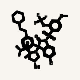 COc1ccc(S(=O)(=O)N2C(=O)C(c3cc(CCN4CCCCC4)ccc3OC)(N3C[C@H](O)C[C@H]3C(=O)N(C)C)c3cc(Cl)ccc32)c(OC(F)(F)F)c1